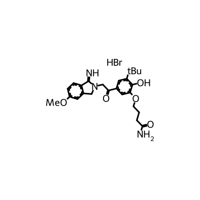 Br.COc1ccc2c(c1)CN(CC(=O)c1cc(OCCCC(N)=O)c(O)c(C(C)(C)C)c1)C2=N